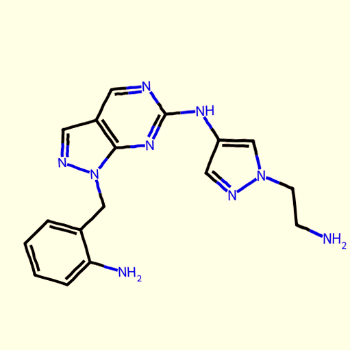 NCCn1cc(Nc2ncc3cnn(Cc4ccccc4N)c3n2)cn1